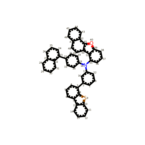 c1cc(-c2cccc3c2sc2ccccc23)cc(N(c2ccc(-c3cccc4ccccc34)cc2)c2cccc3oc4c5ccccc5ccc4c23)c1